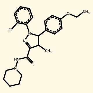 CCOc1ccc(C2C(C)C(C(=S)NN3CCCCC3)=NN2c2ccccc2Cl)cc1